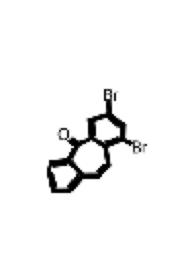 O=c1c2ccccc2ccc2c(Br)cc(Br)cc12